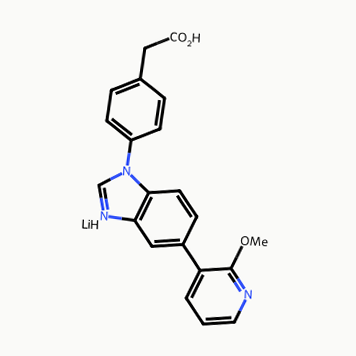 COc1ncccc1-c1ccc2c(c1)ncn2-c1ccc(CC(=O)O)cc1.[LiH]